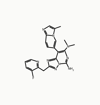 Cc1cnc2ccc(-c3c(N(C)C)nc(N)n4nc(Cc5ncccc5F)nc34)cn12